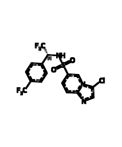 O=S(=O)(N[C@H](c1ccc(C(F)(F)F)cc1)C(F)(F)F)c1ccc2ncc(Cl)n2c1